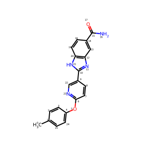 Cc1ccc(Oc2ccc(-c3nc4cc(C(N)=O)ccc4[nH]3)cn2)cc1